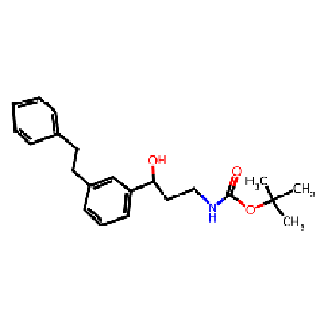 CC(C)(C)OC(=O)NCCC(O)c1cccc(CCc2ccccc2)c1